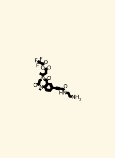 CC(CC(=O)OC(=O)C(F)(F)F)N1CC(=O)N(C)c2ccc(C#CC(=O)NCCN)cc2C1=O